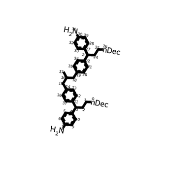 CCCCCCCCCCCCC(c1ccc(N)cc1)c1ccc(CC(C)Cc2ccc(C(CCCCCCCCCCCC)c3ccc(N)cc3)cc2)cc1